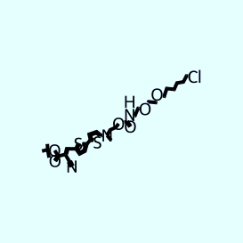 CN(CCOC(=O)NCCOCCOCCCCCCCl)c1ccc(-c2ccc(/C=C(\C#N)C(=O)OC(C)(C)C)s2)s1